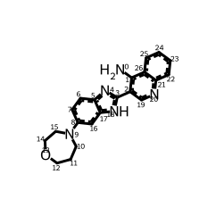 Nc1c(-c2nc3ccc(N4CCCOCC4)cc3[nH]2)cnc2ccccc12